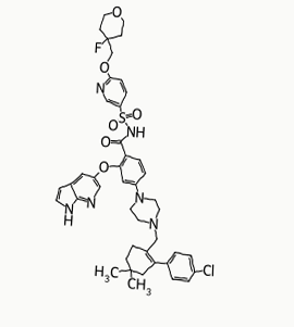 CC1(C)CCC(CN2CCN(c3ccc(C(=O)NS(=O)(=O)c4ccc(OCC5(F)CCOCC5)nc4)c(Oc4cnc5[nH]ccc5c4)c3)CC2)=C(c2ccc(Cl)cc2)C1